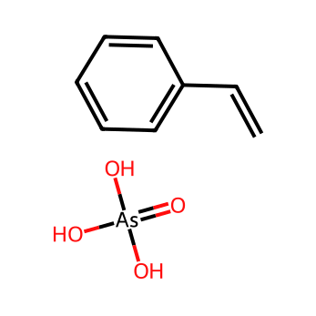 C=Cc1ccccc1.O=[As](O)(O)O